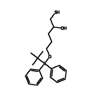 CC(C)(C)[Si](OCCCC(O)CS)(c1ccccc1)c1ccccc1